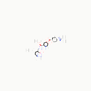 Cc1cc(C)c(CNC(=O)c2cc(Cl)c3c(c2C)OC(C)([C@H]2CC[C@H](N(C)C)CC2)O3)c(=O)[nH]1